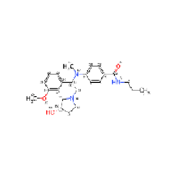 CCCNC(=O)c1ccc(N(C)[C@H](CN2CC[C@H](O)C2)c2cccc(OC)c2)cc1